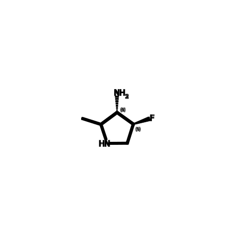 CC1NC[C@H](F)[C@H]1N